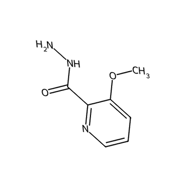 COc1cccnc1C(=O)NN